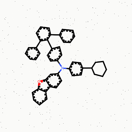 c1ccc(-c2cccc(-c3ccccc3)c2-c2ccc(N(c3ccc(C4CCCCC4)cc3)c3ccc4c(c3)oc3ccccc34)cc2)cc1